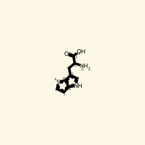 NC(Cc1c[nH]c2ccsc12)C(=O)O